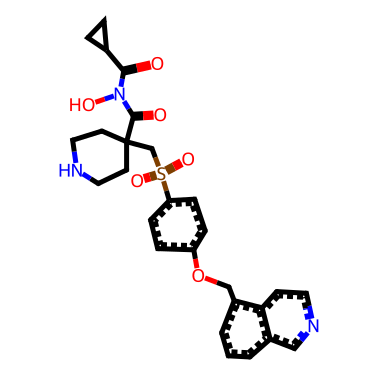 O=C(C1CC1)N(O)C(=O)C1(CS(=O)(=O)c2ccc(OCc3cccc4cnccc34)cc2)CCNCC1